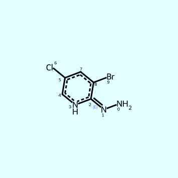 N/N=c1/[nH]cc(Cl)cc1Br